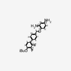 CC(C)COc1ccc(-c2ccc(COc3ccc(N)cc3N)cc2)c(F)c1F